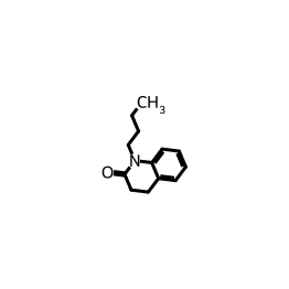 CCCCN1C(=O)CCc2ccccc21